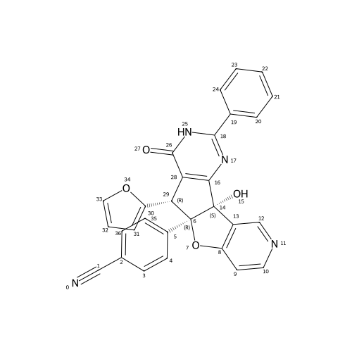 N#Cc1ccc([C@@]23Oc4ccncc4[C@]2(O)c2nc(-c4ccccc4)[nH]c(=O)c2[C@H]3c2ccco2)cc1